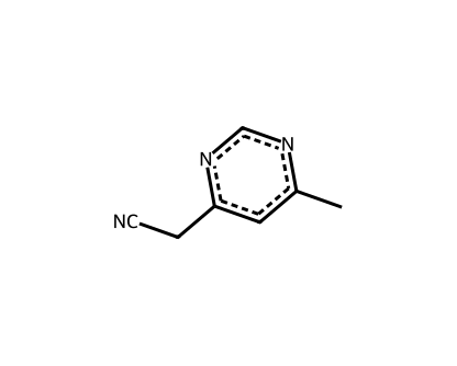 Cc1cc(CC#N)ncn1